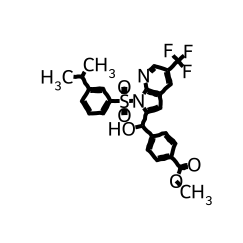 COC(=O)c1ccc(C(O)c2cc3cc(C(F)(F)F)cnc3n2S(=O)(=O)c2cccc(C(C)C)c2)cc1